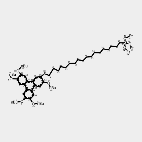 CCCCOc1cc2c3cc(OCCCC)c(OCCCC)cc3c3cc(SCCCCCCCCCCCCCCCCCC[Si](OCC)(OCC)OCC)c(OCCCC)cc3c2cc1OCCCC